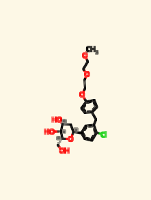 COCCOCCOc1ccc(Cc2cc([C@@H]3C[C@@H](O)[C@H](O)[C@@H](CO)O3)ccc2Cl)cc1